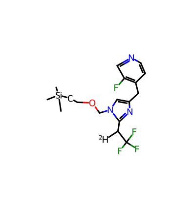 [2H]C(c1nc(Cc2ccncc2F)cn1COCC[Si](C)(C)C)C(F)(F)F